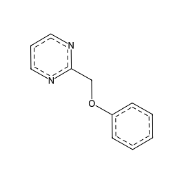 c1ccc(OCc2ncccn2)cc1